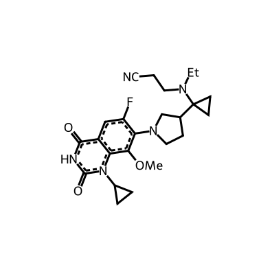 CCN(CCC#N)C1(C2CCN(c3c(F)cc4c(=O)[nH]c(=O)n(C5CC5)c4c3OC)C2)CC1